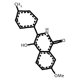 COc1ccc2c(O)c(-c3ccc(C)cc3)[nH]c(=O)c2c1